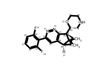 CC1(C)[C@H]2CC[C@]1([C@H]1CNCCO1)c1nnc(-c3c(F)cccc3F)cc12